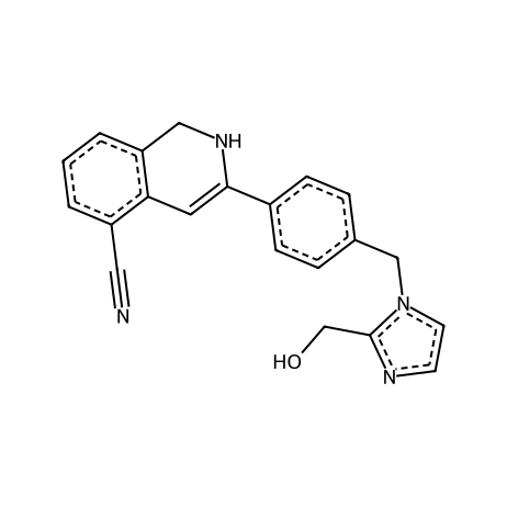 N#Cc1cccc2c1C=C(c1ccc(Cn3ccnc3CO)cc1)NC2